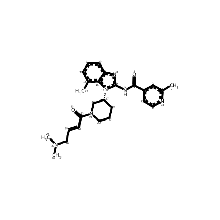 Cc1cc(C(=O)Nc2nc3cccc(C)c3n2[C@@H]2CCCN(C(=O)C=CCN(C)C)C2)ccn1